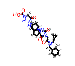 C[C@H](NC(=O)O)C(=O)Nc1ccc2c(c1)CCC21NC(=O)N(CC(=O)N(Cc2ccccc2)[C@@H](C)C2CC2)C1=O